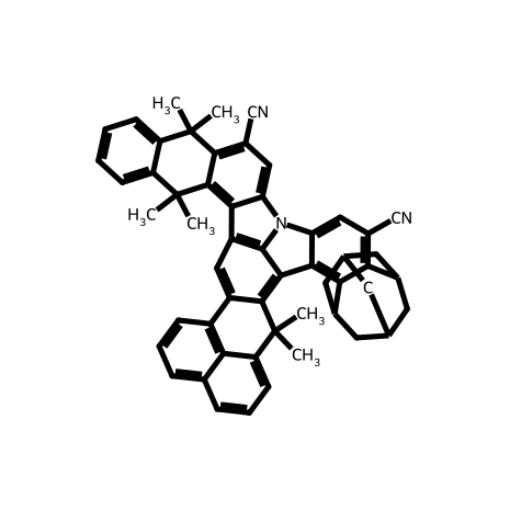 CC1(C)c2ccccc2C(C)(C)c2c1c(C#N)cc1c2c2cc3c(c4c5c6c(c(C#N)cc5n1c24)C1CC2CC(C1)CC6C2)C(C)(C)c1cccc2cccc-3c12